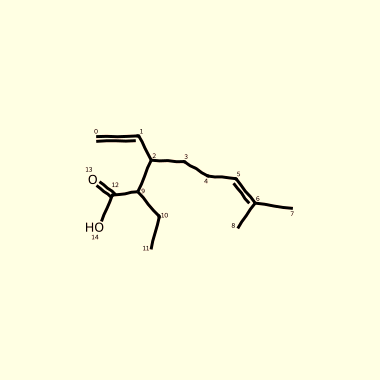 C=CC(CCC=C(C)C)C(CC)C(=O)O